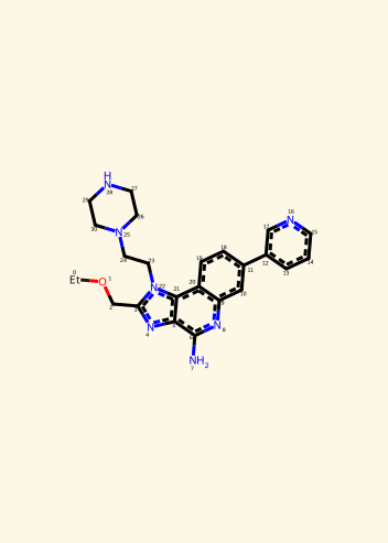 CCOCc1nc2c(N)nc3cc(-c4cccnc4)ccc3c2n1CCN1CCNCC1